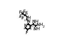 N=C(N)C(=N)c1cc(F)cnc1NCCC(F)(F)C(F)(F)F